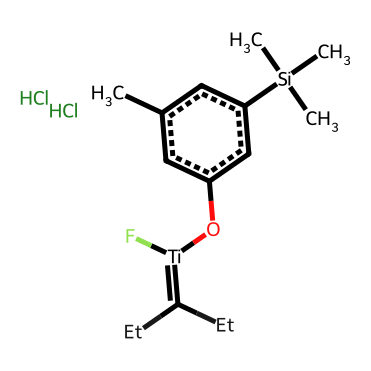 CC[C](CC)=[Ti]([F])[O]c1cc(C)cc([Si](C)(C)C)c1.Cl.Cl